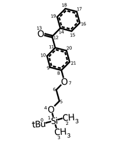 CC(C)(C)[Si](C)(C)OCCOc1ccc(C(=O)c2ccccc2)cc1